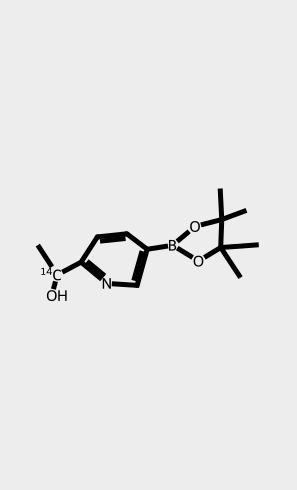 C[14CH](O)c1ccc(B2OC(C)(C)C(C)(C)O2)cn1